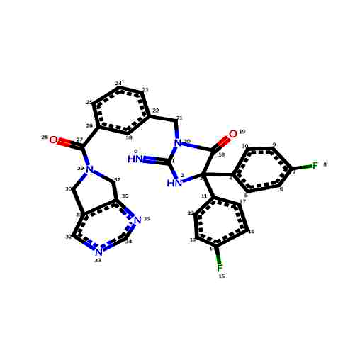 N=C1NC(c2ccc(F)cc2)(c2ccc(F)cc2)C(=O)N1Cc1cccc(C(=O)N2Cc3cncnc3C2)c1